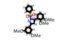 COc1cc(OC)cc(C2=NN(S(=O)(=O)c3ccccc3)C(c3cccc(OC)c3OC)C2)c1